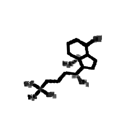 C[C@H](CCC[Si](C)(C)C)C1CCC2C(O)CCC[C@@]21C